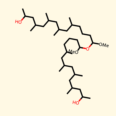 COC(CCCC(C)CC(C)CC(C)CC(C)CC(C)O)OC(CCCC(C)CC(C)CC(C)CC(C)CC(C)O)OC